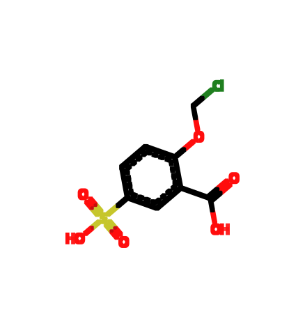 O=C(O)c1cc(S(=O)(=O)O)ccc1OCCl